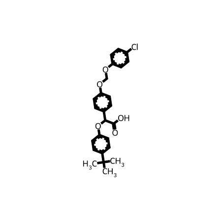 CC(C)(C)c1ccc(OC(C(=O)O)c2ccc(OCOc3ccc(Cl)cc3)cc2)cc1